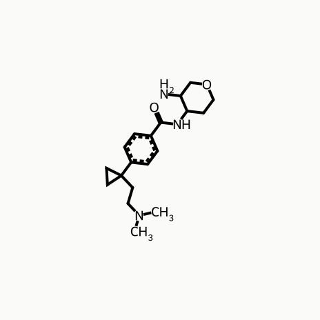 CN(C)CCC1(c2ccc(C(=O)NC3CCOCC3N)cc2)CC1